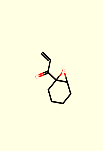 C=CC(=O)C12CCCCC1O2